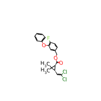 CC1(C)[C@H](C=C(Cl)Cl)[C@@H]1C(=O)OCc1ccc(F)c(Oc2ccccc2)c1